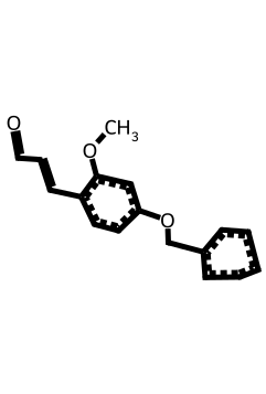 COc1cc(OCc2ccccc2)ccc1C=CC=O